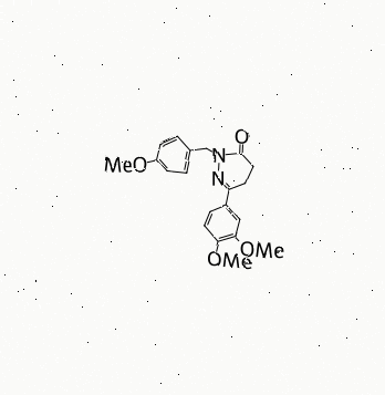 COc1ccc(CN2N=C(c3ccc(OC)c(OC)c3)CCC2=O)cc1